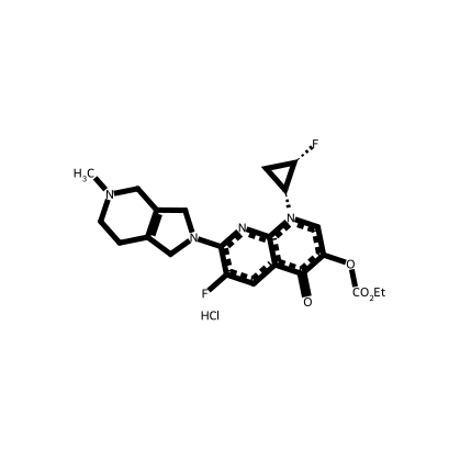 CCOC(=O)Oc1cn([C@@H]2C[C@@H]2F)c2nc(N3CC4=C(CN(C)CC4)C3)c(F)cc2c1=O.Cl